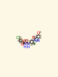 COc1ccc2ncn(-c3ccc(NC(=O)NS(=O)(=O)c4ccc(Cl)s4)cc3F)c(=O)c2c1